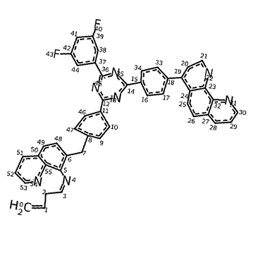 C=CC/C=N\c1c(Cc2ccc(-c3nc(-c4ccc(-c5ccnc6c5ccc5cccnc56)cc4)nc(-c4cc(F)cc(F)c4)n3)cc2)ccc2cccnc12